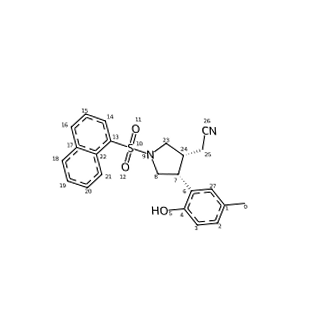 Cc1ccc(O)c([C@@H]2CN(S(=O)(=O)c3cccc4ccccc34)C[C@@H]2CC#N)c1